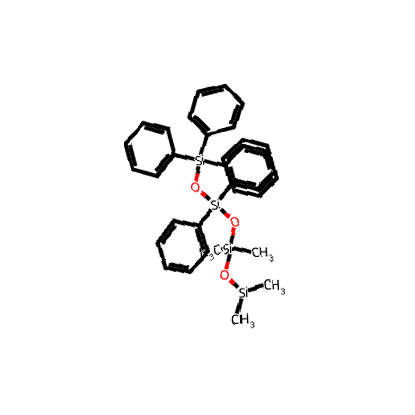 C[Si](C)O[Si](C)(C)O[Si](O[Si](c1ccccc1)(c1ccccc1)c1ccccc1)(c1ccccc1)c1ccccc1